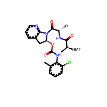 CN[C@@H](C)C(=O)N[C@H](C(=O)N1c2ncccc2C[C@@H]1OC(=O)Nc1c(C)cccc1Cl)C(C)C